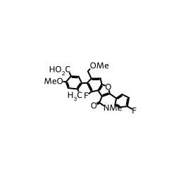 CNC(=O)c1c(-c2ccc(F)cc2)oc2cc(COC)c(-c3cc(C(=O)O)c(OC)cc3C)c(F)c12